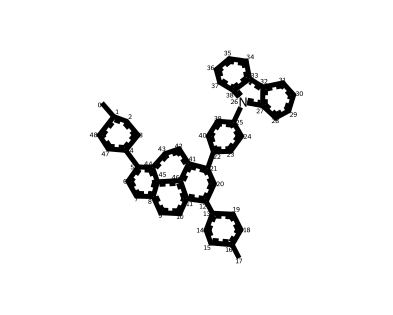 Cc1ccc(-c2ccc3ccc4c(-c5ccc(C)cc5)cc(-c5ccc(-n6c7ccccc7c7ccccc76)cc5)c5ccc2c3c45)cc1